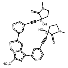 CN1CC[C@@](O)(C#Cc2cccc(-c3ccn4c(C(=O)O)nc(-c5cccc(C#C[C@]6(O)CCN(C)C6=O)c5)c4c3)c2)C1=O